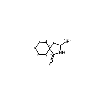 CC(C)C1CC2(CCCCC2)C(=O)N1